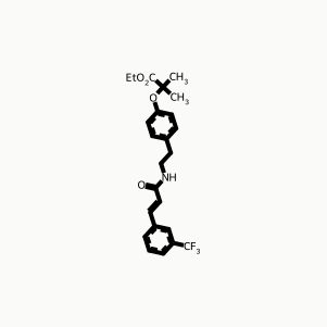 CCOC(=O)C(C)(C)Oc1ccc(CCNC(=O)/C=C/c2cccc(C(F)(F)F)c2)cc1